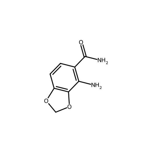 NC(=O)c1ccc2c(c1N)OCO2